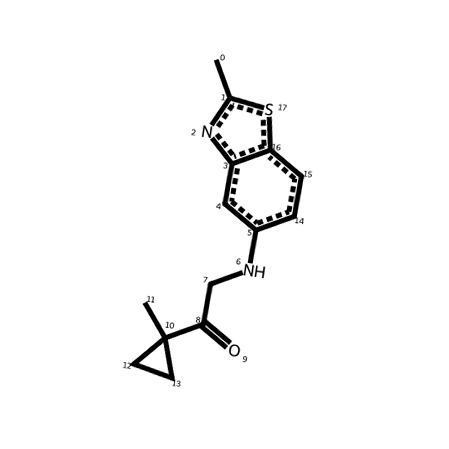 Cc1nc2cc(NCC(=O)C3(C)CC3)ccc2s1